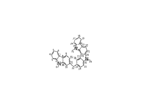 Cn1c2ccccc2c2ccc(Cc3ccc4c(c3)c3c(ccc5c6ccccc6n(C)c53)n4C)cc21